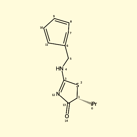 CC(C)[C@H]1SC(NCc2ccccc2)=NC1=O